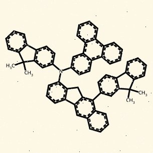 CC1(C)c2ccccc2-c2ccc(-c3c4c(cc5ccccc35)-c3cccc(N(c5ccc6c(c5)C(C)(C)c5ccccc5-6)c5ccc6c7ccccc7c7ccccc7c6c5)c3C4)cc21